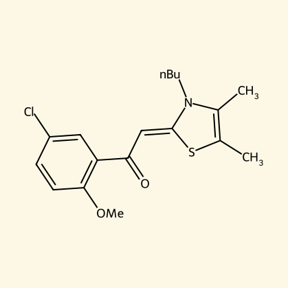 CCCCN1C(C)=C(C)S/C1=C\C(=O)c1cc(Cl)ccc1OC